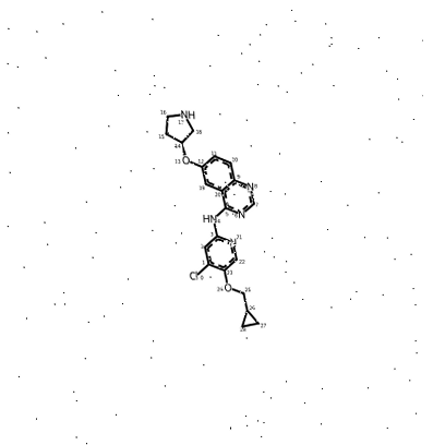 Clc1cc(Nc2ncnc3ccc(O[C@H]4CCNC4)cc23)ncc1OCC1CC1